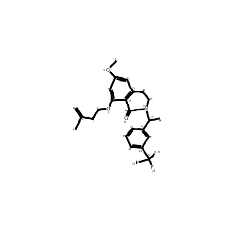 C=C(C)CCOc1cc(OC)cc2c1C(=O)N(C(C)c1cccc(C(F)(F)F)c1)CC2